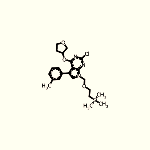 Cc1cccc(-c2cn(COCC[Si](C)(C)C)c3nc(Cl)nc(OC4CCOC4)c23)c1